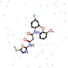 COc1ccccc1Oc1cc(F)ccc1NC(=O)CC(=O)Nc1ncc(SC)s1